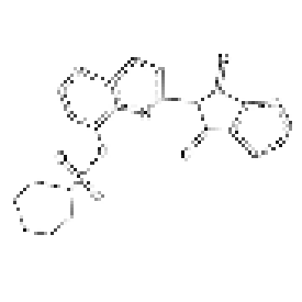 O=C1c2ccccc2C(=O)C1c1ccc2cccc(OS(=O)(=O)C3CCCCC3)c2n1